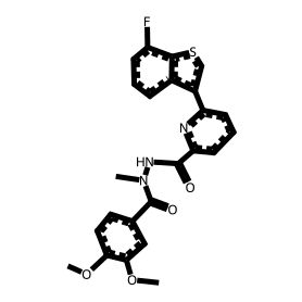 COc1ccc(C(=O)N(C)NC(=O)c2cccc(-c3csc4c(F)cccc34)n2)cc1OC